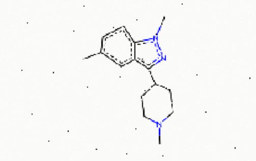 Cc1ccc2c(c1)c(C1CCN(C)CC1)nn2C